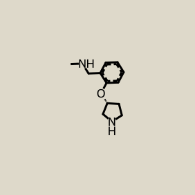 CNCc1ccccc1O[C@@H]1CCNC1